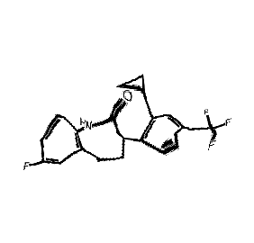 O=C1Nc2ccc(F)cc2CCC1c1ccc(C(F)(F)F)cc1C1CC1